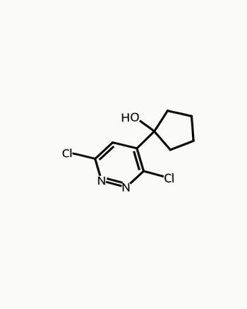 OC1(c2cc(Cl)nnc2Cl)CCCC1